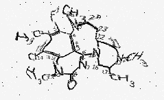 Cc1c(F)c2c3c(nc(=O)n(C)c3c1Cl)N1CC(C)N(C)CC1CCN2C